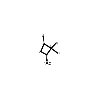 CC(=O)[C@H]1C[C@@H](C)C1(C)C